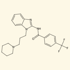 O=C(Nc1nc2ccccc2n1CCCN1CCCCC1)c1ccc(C(F)(F)F)cc1